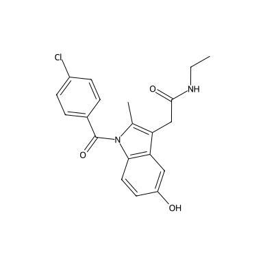 CCNC(=O)Cc1c(C)n(C(=O)c2ccc(Cl)cc2)c2ccc(O)cc12